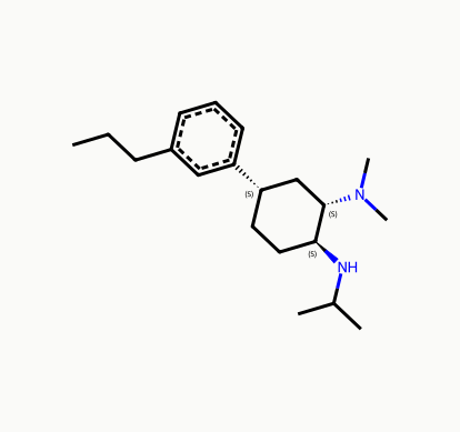 CCCc1cccc([C@H]2CC[C@H](NC(C)C)[C@@H](N(C)C)C2)c1